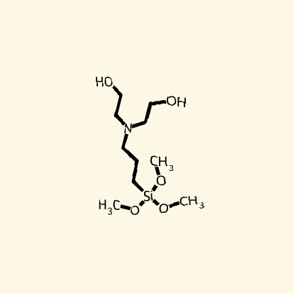 CO[Si](CCCN(CCO)CCO)(OC)OC